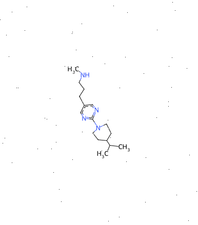 CNCCCc1cnc(N2CCC(C(C)C)CC2)nc1